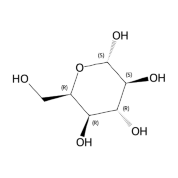 OC[C@H]1O[C@H](O)[C@@H](O)[C@H](O)[C@H]1O